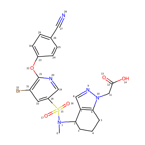 CN(C1CCCc2c1cnn2CC(=O)O)S(=O)(=O)c1cnc(Oc2ccc(C#N)cc2)c(Br)c1